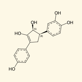 OC1=C(c2ccc(O)cc2)C[C@H](c2ccc(O)c(O)c2)[C@@H]1O